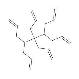 C=CC[C](CC=C)C(CC=C)(CC=C)[C](CC=C)CC=C